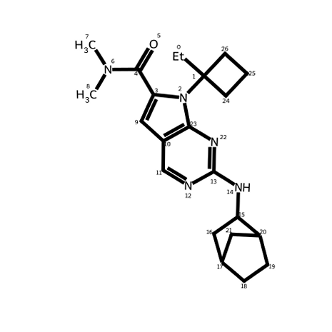 CCC1(n2c(C(=O)N(C)C)cc3cnc(NC4CC5CCC4C5)nc32)CCC1